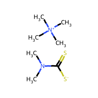 CN(C)C(=S)[S-].C[N+](C)(C)C